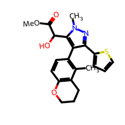 COC(=O)C(O)c1c(-c2ccc3c(c2C)CCCO3)c(-c2cccs2)nn1C